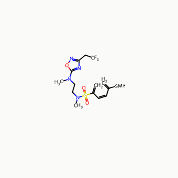 C=C(/C=C\C(=C)S(=O)(=O)N(C)CCN(C)c1nc(CC(F)(F)F)no1)SC